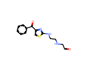 O=[C]CNCCNc1nc(C(=O)c2ccccc2)cs1